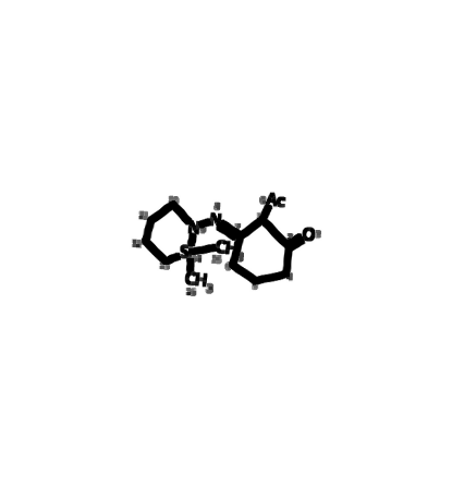 CC(=O)C1C(=O)CCCC1=NN1CCCC[Si]1(C)C